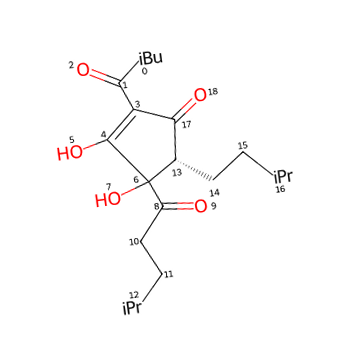 CCC(C)C(=O)C1=C(O)C(O)(C(=O)CCC(C)C)[C@@H](CCC(C)C)C1=O